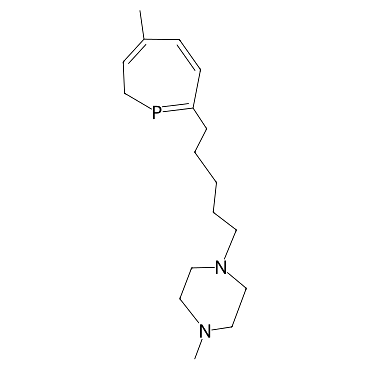 CC1=CCP=C(CCCCCN2CCN(C)CC2)C=C1